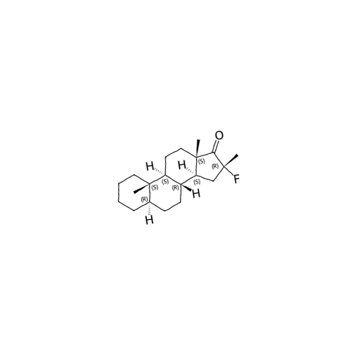 C[C@]12CCCC[C@@H]1CC[C@@H]1[C@@H]2CC[C@]2(C)C(=O)[C@](C)(F)C[C@@H]12